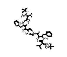 CC(C)C(NOC(C)(C)C)C(=O)NC(Cc1ccccc1)C(=O)C(=O)C1=CN(C(=O)C(=O)C(Cc2ccccc2)NC(=O)C(NOC(C)(C)C)C(C)C)C[SH]1